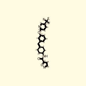 O=C(NC1CCC(=Cc2cccc(Oc3ccc(C(F)(F)F)cn3)c2)CC1)c1ccno1